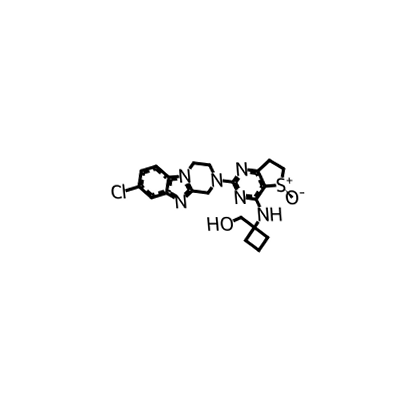 [O-][S@+]1CCc2nc(N3CCn4c(nc5cc(Cl)ccc54)C3)nc(NC3(CO)CCC3)c21